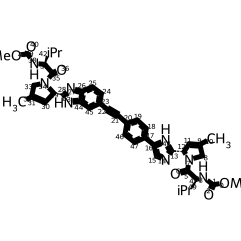 COC(=O)N[C@H](C(=O)N1CC(C)=C[C@H]1c1ncc(-c2ccc(C#Cc3ccc4nc([C@@H]5C=C(C)CN5C(=O)[C@@H](NC(=O)OC)C(C)C)[nH]c4c3)cc2)[nH]1)C(C)C